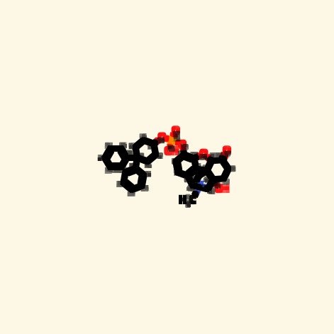 CN1CCC23c4c5ccc(OP(=O)(O)OC6CCC(c7ccccc7)(c7ccccc7)CC6)c4OC2C(=O)CCC3(O)C1C5